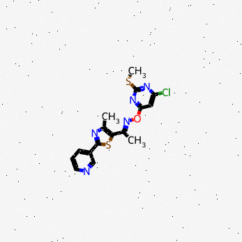 CSc1nc(Cl)cc(O/N=C(\C)c2sc(-c3cccnc3)nc2C)n1